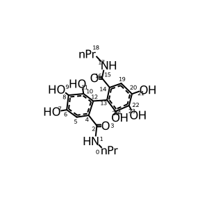 CCCNC(=O)c1cc(O)c(O)c(O)c1-c1c(C(=O)NCCC)cc(O)c(O)c1O